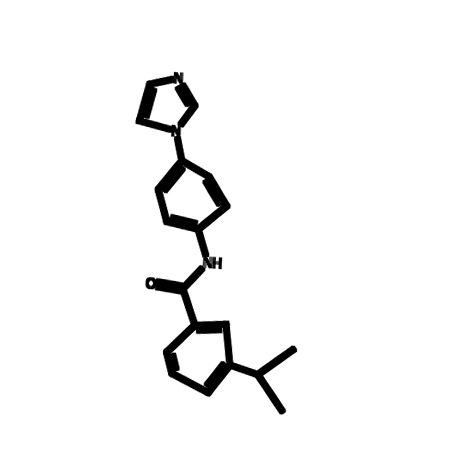 CC(C)c1cccc(C(=O)Nc2ccc(-n3ccnc3)cc2)c1